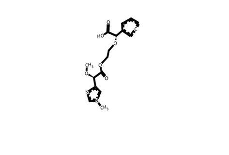 CO[C@@H](C(=O)OCCO[C@H](C(=O)O)c1ccccc1)c1cn(C)cn1